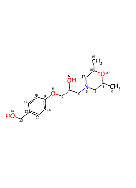 CC1CN(CC(O)COc2ccc(CO)cc2)CC(C)O1